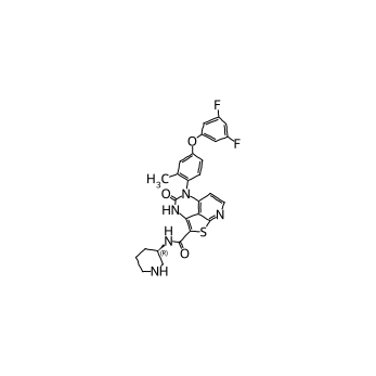 Cc1cc(Oc2cc(F)cc(F)c2)ccc1N1C(=O)Nc2c(C(=O)N[C@@H]3CCCNC3)sc3nccc1c23